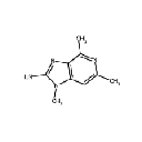 Cc1cc2c(nc(N)n2C)c(C)n1